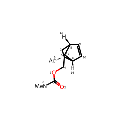 CNC(=O)OC[C@@]1(C(C)=O)C[C@@H]2C=C[C@H]1C2